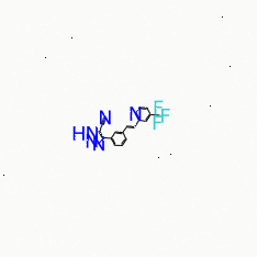 N#Cc1[nH]nnc1-c1cccc(C=Cc2cc(C(F)(F)F)ccn2)c1